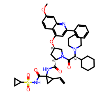 C=CC1CC1(NC(=O)[C@@H]1C[C@@H](Oc2cc(-c3ccccc3)nc3cc(OC)ccc23)CN1C(=O)[C@H](C1CCCCC1)N1CCCCC1)C(=O)NS(=O)(=O)C1CC1